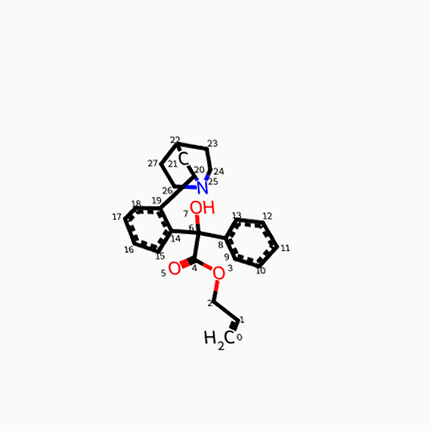 C=CCOC(=O)C(O)(c1ccccc1)c1ccccc1C1CC2CCN1CC2